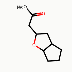 COC(=O)CC1CC2CCCC2O1